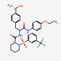 CCOc1ccc(NC(=O)C(Cc2ccc([C@H](C)O)cc2)NC(=O)[C@@H]2CCCCN2S(=O)(=O)c2cccc(C(F)(F)F)c2)cc1